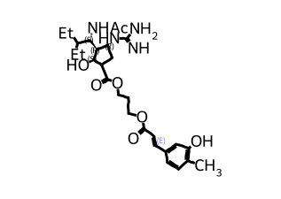 CCC(CC)[C@H](NC(C)=O)[C@@H]1[C@H](O)C(C(=O)OCCCOC(=O)/C=C/c2ccc(C)c(O)c2)C[C@H]1NC(=N)N